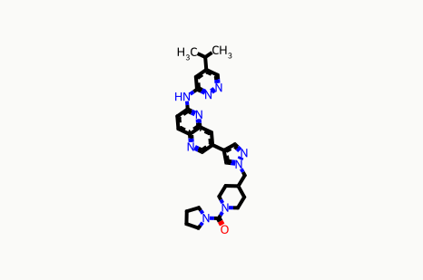 CC(C)c1cnnc(Nc2ccc3ncc(-c4cnn(CC5CCN(C(=O)N6CCCC6)CC5)c4)cc3n2)c1